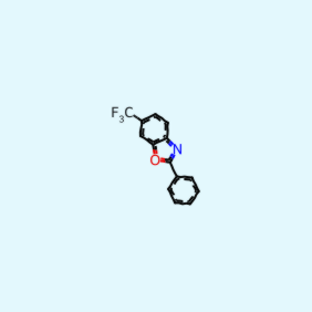 FC(F)(F)c1ccc2nc(-c3ccccc3)oc2c1